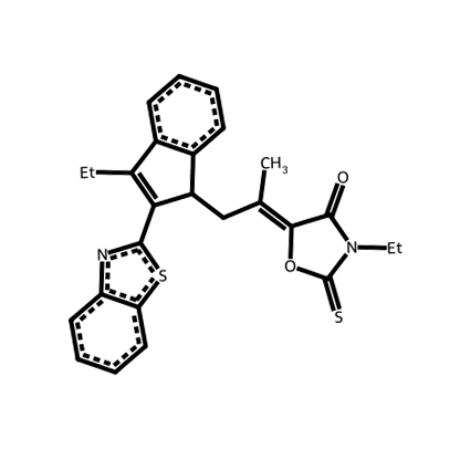 CCC1=C(c2nc3ccccc3s2)C(CC(C)=C2OC(=S)N(CC)C2=O)c2ccccc21